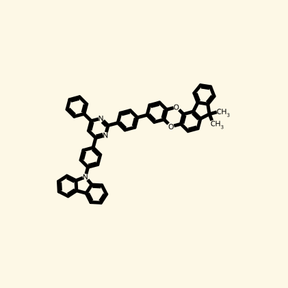 CC1(C)c2ccccc2-c2c1ccc1c2Oc2ccc(-c3ccc(-c4nc(-c5ccccc5)cc(-c5ccc(-n6c7ccccc7c7ccccc76)cc5)n4)cc3)cc2O1